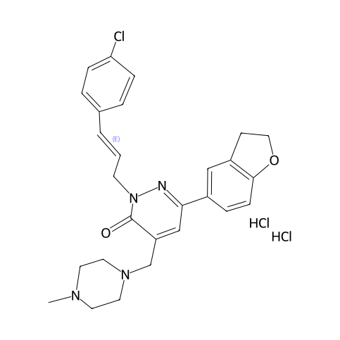 CN1CCN(Cc2cc(-c3ccc4c(c3)CCO4)nn(C/C=C/c3ccc(Cl)cc3)c2=O)CC1.Cl.Cl